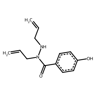 C=CCNN(CC=C)C(=O)c1ccc(O)cc1